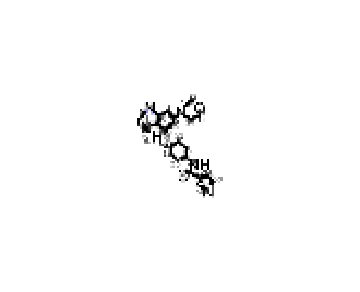 C=Nc1c(/N=C\C)cc(N2CCOCC2)cc1O[C@H]1CC[C@@H](NC(=O)c2ccns2)CC1